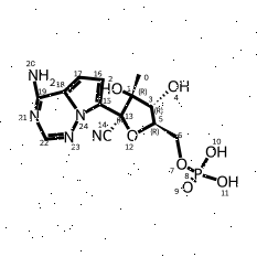 C[C@@]1(O)[C@H](O)[C@@H](COP(=O)(O)O)O[C@@]1(C#N)c1ccc2c(N)ncnn12